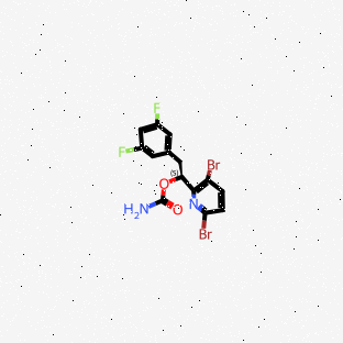 NC(=O)O[C@@H](Cc1cc(F)cc(F)c1)c1nc(Br)ccc1Br